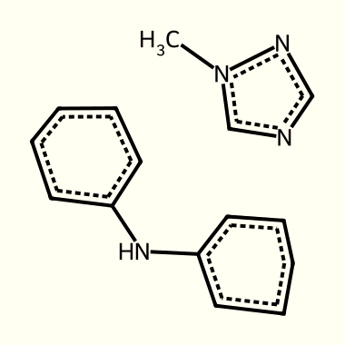 Cn1cncn1.c1ccc(Nc2ccccc2)cc1